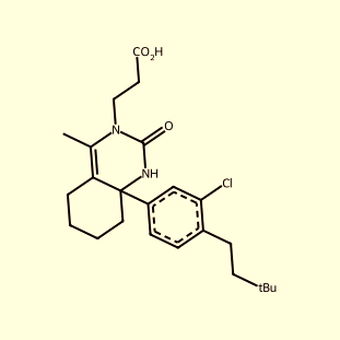 CC1=C2CCCCC2(c2ccc(CCC(C)(C)C)c(Cl)c2)NC(=O)N1CCC(=O)O